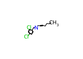 CCCCC#CCN=Cc1ccc(Cl)cc1Cl